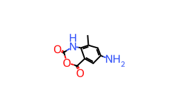 Cc1cc(N)cc2c(=O)oc(=O)[nH]c12